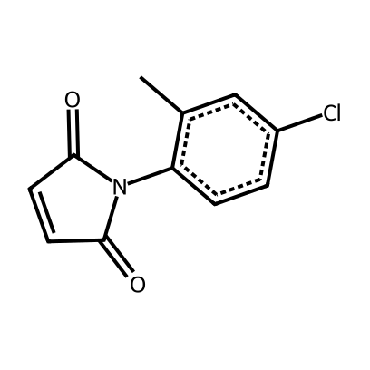 Cc1cc(Cl)ccc1N1C(=O)C=CC1=O